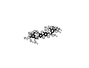 CC(/N=N/c1cc(Cl)c(-c2cc(Cl)c(/N=N/C(C)=C3C=C(C(C)(C)C)C(=O)C(C(C)(C)C)=C3)cc2Cl)cc1Cl)=C1C=C(C(C)(C)C)C(=O)C(C(C)(C)C)=C1